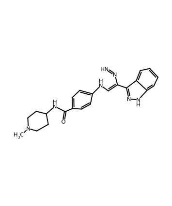 CN1CCC(NC(=O)c2ccc(N/C=C(\N=N)c3n[nH]c4ccccc34)cc2)CC1